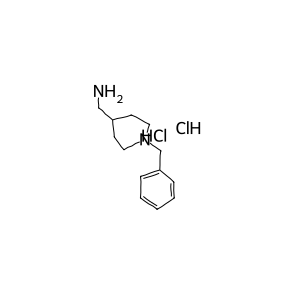 Cl.Cl.NCC1CCN(Cc2ccccc2)CC1